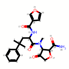 CN(C(=O)C(CC(C)(C)c1ccccc1)NC(=O)c1ccoc1)C1C(=O)COC1C(N)=O